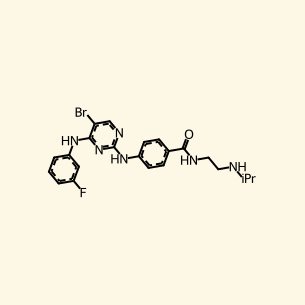 CC(C)NCCNC(=O)c1ccc(Nc2ncc(Br)c(Nc3cccc(F)c3)n2)cc1